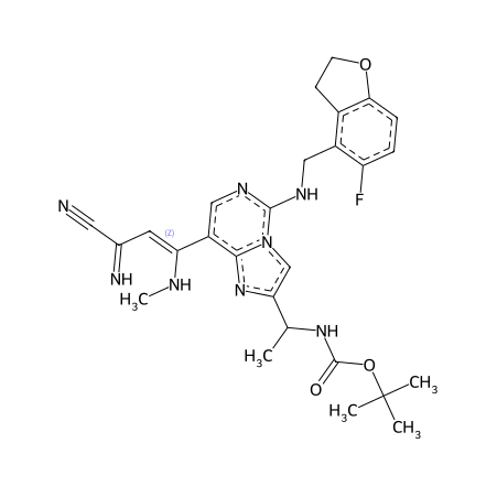 CN/C(=C\C(=N)C#N)c1cnc(NCc2c(F)ccc3c2CCO3)n2cc(C(C)NC(=O)OC(C)(C)C)nc12